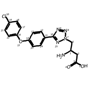 NC(CC(=O)O)Cn1nnc(-c2ccc(Oc3ccc(Cl)cc3)cc2)n1